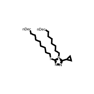 CCCCCCCCCCCCCCCCCCSc1nnc(C2CC2)n1CCCCCCCCCCCCCCCCC